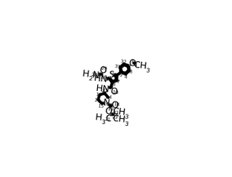 COc1ccc(-c2cc(C(=O)NC3CCCN(C(=O)OC(C)(C)C)C3)c(NC(N)=O)s2)cc1